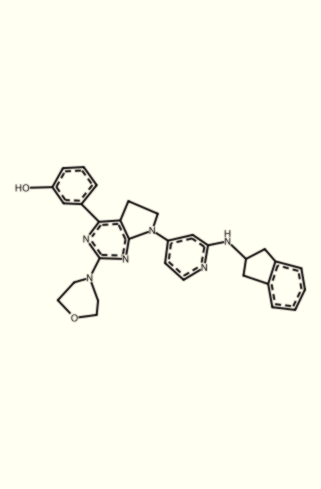 Oc1cccc(-c2nc(N3CCOCC3)nc3c2CCN3c2ccnc(NC3Cc4ccccc4C3)c2)c1